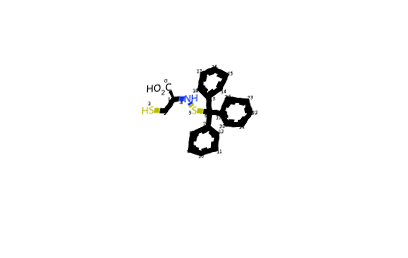 O=C(O)[C@H](CS)NSC(c1ccccc1)(c1ccccc1)c1ccccc1